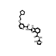 O=C(Nc1nc2c(C(=O)Nc3ncc[nH]3)cccc2[nH]1)c1cc(OCCC2CCCC2)ccn1